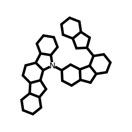 C1CCC2CC(C3CCCC4CC5CCC(N6C7CCCCC7C7CCC8C9CCCCC9CC8C76)CC5C43)CC2C1